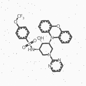 O=S(=O)(N[C@@H]1CN(c2ncccn2)C[C@H](N2c3ccccc3Oc3ccccc32)[C@H]1O)c1ccc(OC(F)(F)F)cc1